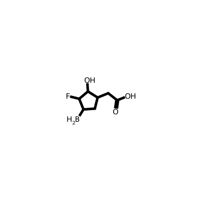 BC1CC(CC(=O)O)C(O)C1F